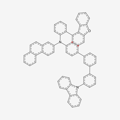 c1cc(-c2ccc(N(c3ccc4c(ccc5ccccc54)c3)c3ccccc3-c3cccc4oc5ccccc5c34)cc2)cc(-c2cccc(-n3c4ccccc4c4ccccc43)c2)c1